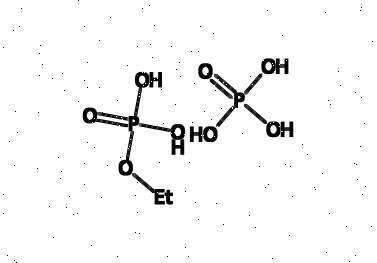 CCOP(=O)(O)O.O=P(O)(O)O